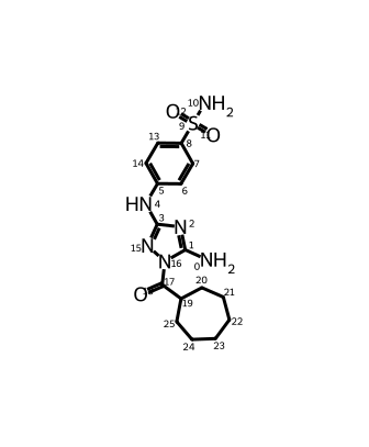 Nc1nc(Nc2ccc(S(N)(=O)=O)cc2)nn1C(=O)C1CCCCCC1